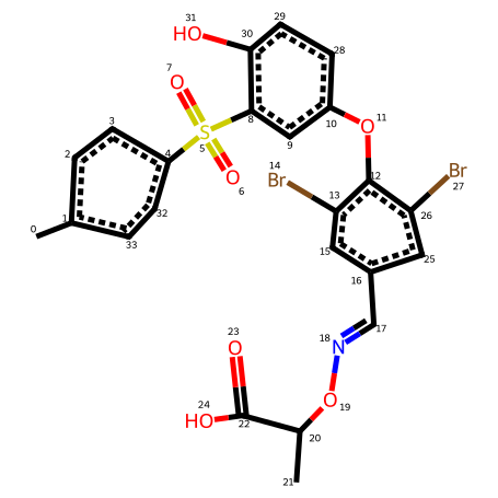 Cc1ccc(S(=O)(=O)c2cc(Oc3c(Br)cc(C=NOC(C)C(=O)O)cc3Br)ccc2O)cc1